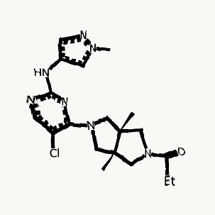 CCC(=O)N1C[C@@]2(C)CN(c3nc(Nc4cnn(C)c4)ncc3Cl)C[C@@]2(C)C1